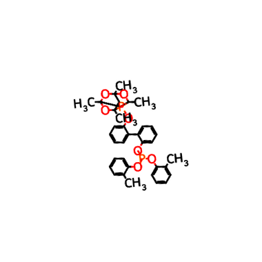 Cc1ccccc1OP(Oc1ccccc1C)Oc1ccccc1-c1ccccc1OP1C2(C)CC3(C)OC(C)(CC1(C)O3)O2